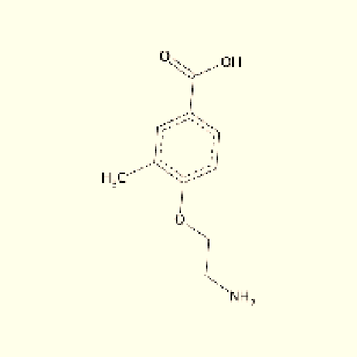 Cc1cc(C(=O)O)ccc1OCCN